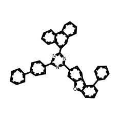 c1ccc(-c2ccc(-c3nc(-c4ccc5c(c4)oc4cccc(-c6ccccc6)c45)nc(-c4cc5ccccc5c5ccccc45)n3)cc2)cc1